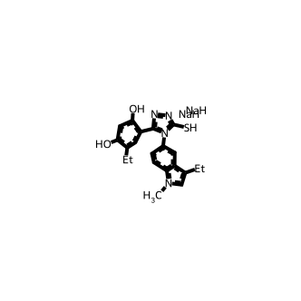 CCc1cc(-c2nnc(S)n2-c2ccc3c(c2)c(CC)cn3C)c(O)cc1O.[NaH].[NaH]